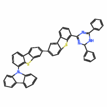 c1ccc(C2=NC(c3cccc4c3sc3ccc(-c5ccc6c(c5)sc5c(-n7c8ccccc8c8ccccc87)cccc56)cc34)=NC(c3ccccc3)N2)cc1